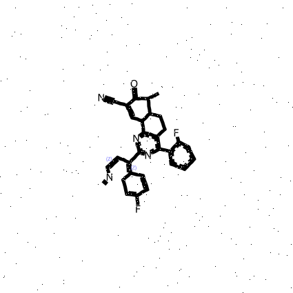 C=N/C=C\C(=C1\C=CC(F)=CC1)c1nc(-c2ccccc2F)c2c(n1)C1C=C(C#N)C(=O)C(C)C1CC2